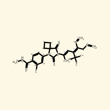 C=NC/C(N=C)=C(/C=C(\C)N1C(=O)C2(CCC2)N(c2ccc(C(=O)NC)c(F)c2)C1=S)C(F)(F)F